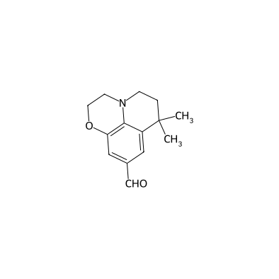 CC1(C)CCN2CCOc3cc(C=O)cc1c32